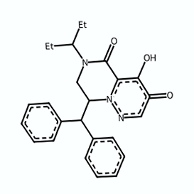 CCC(CC)N1CC(C(c2ccccc2)c2ccccc2)n2ncc(=O)c(O)c2C1=O